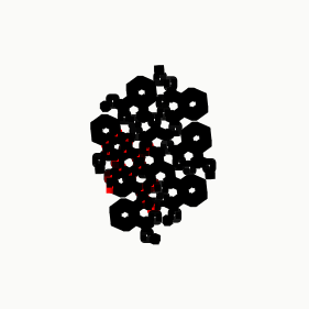 COOC(=O)c1ccccc1C(=O)OCC(OC(=O)c1ccccc1C(=O)OC)C(OC(=O)c1ccccc1C(=O)OC)C(OC(=O)c1ccccc1C(=O)OC)C(OC(=O)c1ccccc1C(=O)OC)C(CC(=O)c1ccccc1C(=O)OC)C(COC(=O)c1ccccc1C(=O)OC)OC(=O)c1ccccc1C(=O)OC